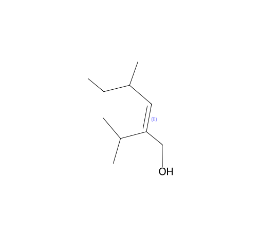 CCC(C)/C=C(/CO)C(C)C